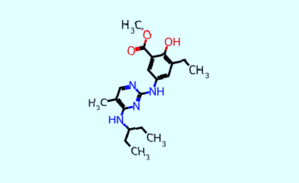 CCc1cc(Nc2ncc(C)c(NC(CC)CC)n2)cc(C(=O)OC)c1O